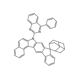 c1ccc(-c2nc(-n3c4cc5c(cc4c4c6ccccc6ccc43)-c3ccccc3C53C4CC5CC(C4)CC3C5)nc3ccccc23)cc1